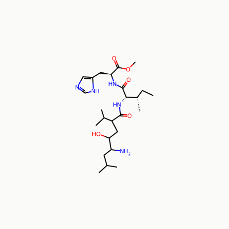 CC[C@H](C)[C@H](NC(=O)C(CC(O)C(N)CC(C)C)C(C)C)C(=O)N[C@@H](Cc1cnc[nH]1)C(=O)OC